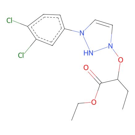 CCOC(=O)C(CC)ON1C=CN(c2ccc(Cl)c(Cl)c2)N1